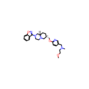 COCCN(C)Cc1ccc(OC[C@H]2CC[C@H]3CN(c4noc5ccccc45)CCN3C2)nc1